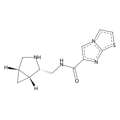 O=C(NC[C@H]1NC[C@H]2C[C@H]21)c1cn2ccsc2n1